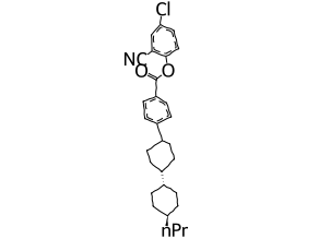 CCC[C@H]1CC[C@H](C2CCC(c3ccc(C(=O)Oc4ccc(Cl)cc4C#N)cc3)CC2)CC1